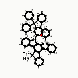 CC1(C)c2ccccc2-c2c1c1c3ccccc3n(-c3ccc4c(c3)C(c3ccccc3)(c3ccccc3)c3ccccc3-4)c1c1c2c2ccccc2n1-c1ccccc1